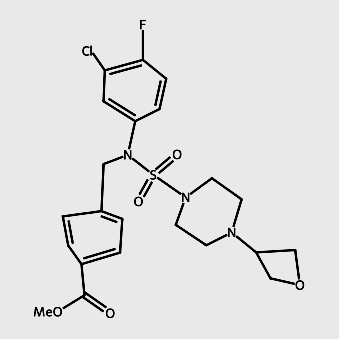 COC(=O)c1ccc(CN(c2ccc(F)c(Cl)c2)S(=O)(=O)N2CCN(C3COC3)CC2)cc1